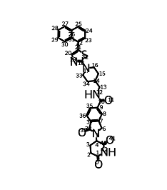 O=C1CCC(N2Cc3cc(C(=O)NCC4CCN(c5ncc(-c6cccc7ccccc67)s5)CC4)ccc3C2=O)C(=O)N1